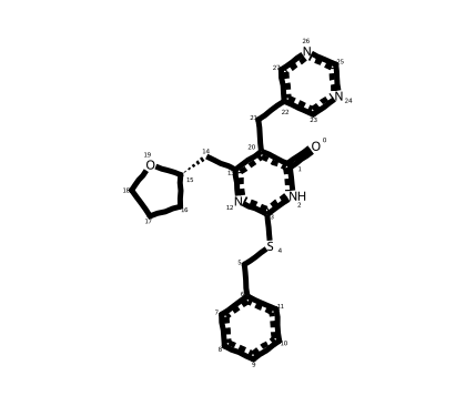 O=c1[nH]c(SCc2ccccc2)nc(C[C@@H]2CCCO2)c1Cc1cncnc1